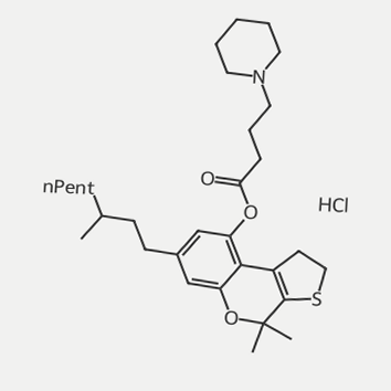 CCCCCC(C)CCc1cc(OC(=O)CCCN2CCCCC2)c2c(c1)OC(C)(C)C1=C2CCS1.Cl